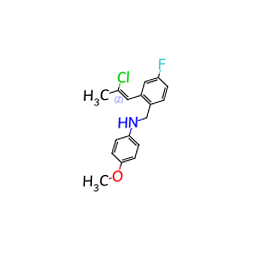 COc1ccc(NCc2ccc(F)cc2/C=C(/C)Cl)cc1